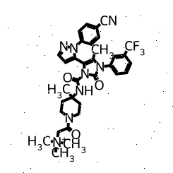 Cc1c(-c2ccnn2-c2ccc(C#N)cc2)n(C(=O)NC2(C)CCN(C(=O)C[N+](C)(C)C)CC2)c(=O)n1-c1cccc(C(F)(F)F)c1